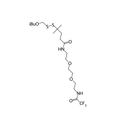 CC(C)COCSSC(C)(C)CCC(=O)NCCOCCOCCNC(=O)C(F)(F)F